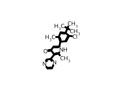 Cc1cc(C(C)(C)C)c(Cl)cc1-c1cc(=O)c(-c2cnccn2)c(C)[nH]1